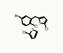 Clc1ccc(Cc2cc(Br)ccc2Cl)s1.Clc1cccs1